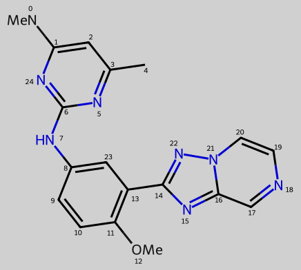 CNc1cc(C)nc(Nc2ccc(OC)c(-c3nc4cnccn4n3)c2)n1